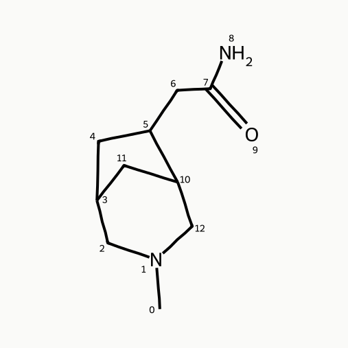 CN1CC2CC(CC(N)=O)C(C2)C1